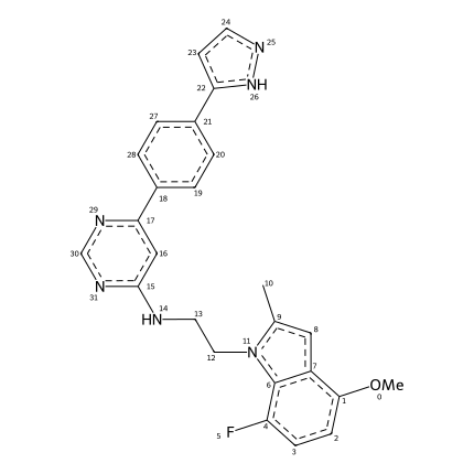 COc1ccc(F)c2c1cc(C)n2CCNc1cc(-c2ccc(-c3ccn[nH]3)cc2)ncn1